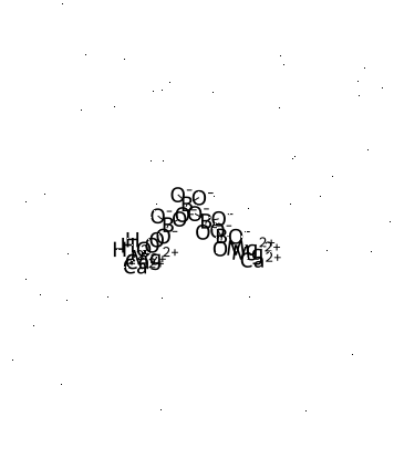 O.O.O.[Ca+2].[Ca+2].[Ca+2].[Mg+2].[Mg+2].[Mg+2].[O-]B([O-])[O-].[O-]B([O-])[O-].[O-]B([O-])[O-].[O-]B([O-])[O-]